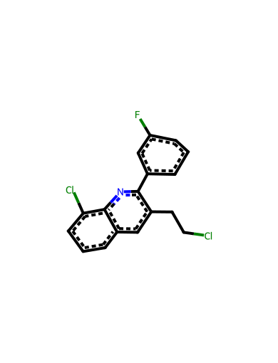 Fc1cccc(-c2nc3c(Cl)cccc3cc2CCCl)c1